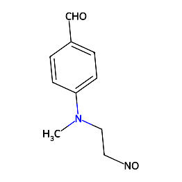 CN(CCN=O)c1ccc(C=O)cc1